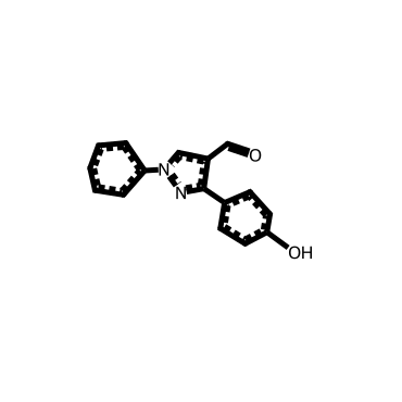 O=Cc1cn(-c2ccccc2)nc1-c1ccc(O)cc1